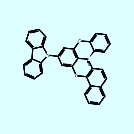 S=[P@]12c3ccccc3Oc3cc(-n4c5ccccc5c5ccccc54)cc(c31)Oc1c2ccc2ccccc12